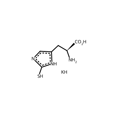 N[C@@H](Cc1cnc(S)[nH]1)C(=O)O.[KH]